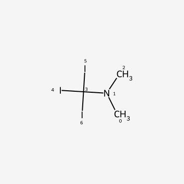 CN(C)C(I)(I)I